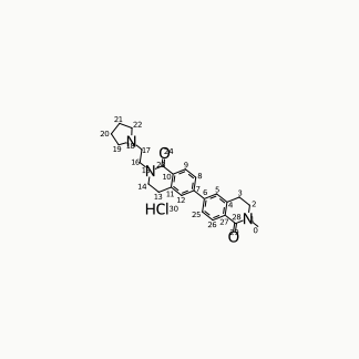 CN1CCc2cc(-c3ccc4c(c3)CCN(CCN3CCCC3)C4=O)ccc2C1=O.Cl